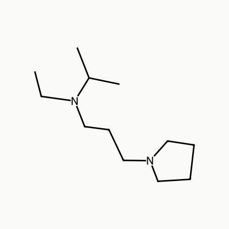 CCN(CCCN1CCCC1)C(C)C